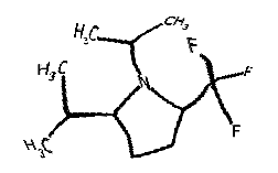 CC(C)[C@@H]1CCC(C(F)(F)F)N1C(C)C